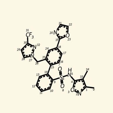 Cc1noc(NS(=O)(=O)c2ccccc2-c2ccc(-c3ncco3)cc2Cn2ccc(C(F)(F)F)n2)c1C